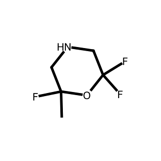 CC1(F)CNCC(F)(F)O1